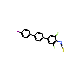 Fc1cc(-c2ccc(-c3ccc(I)cc3)cc2)cc(F)c1N=C=S